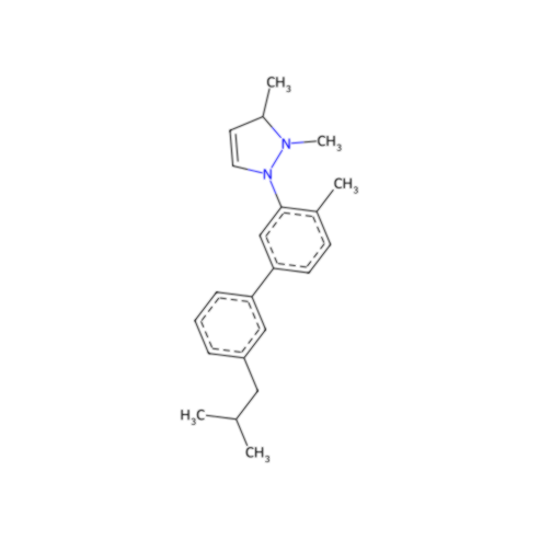 Cc1ccc(-c2cccc(CC(C)C)c2)cc1N1C=CC(C)N1C